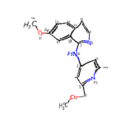 COCc1cc(Nc2nccc3ccc(OC)cc23)ccn1